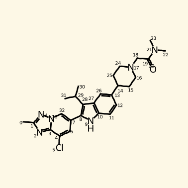 Cc1nc2c(Cl)cc(-c3[nH]c4ccc(C5CCN(CC(=O)N(C)C)CC5)cc4c3C(C)C)cn2n1